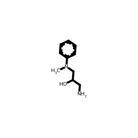 CN(CC(O)CN)c1ccccc1